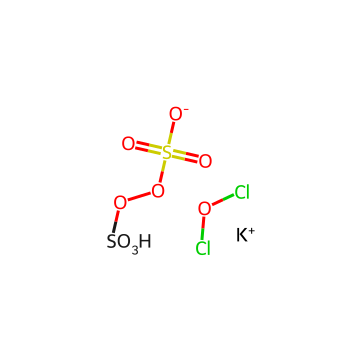 ClOCl.O=S(=O)([O-])OOS(=O)(=O)O.[K+]